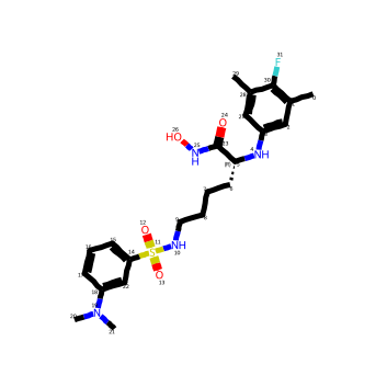 Cc1cc(N[C@H](CCCCNS(=O)(=O)c2cccc(N(C)C)c2)C(=O)NO)cc(C)c1F